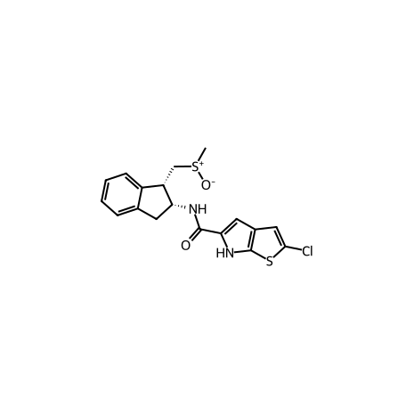 C[S+]([O-])C[C@H]1c2ccccc2C[C@H]1NC(=O)c1cc2cc(Cl)sc2[nH]1